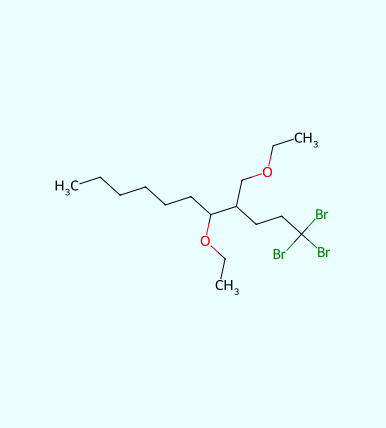 CCCCCCC(OCC)C(CCC(Br)(Br)Br)COCC